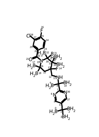 BC(B)(B)c1cnc(C(B)(B)NCC2(F)CC(B)(B)N(C(=O)c3ccc(F)c(Cl)c3)C(B)(B)C2(B)B)nc1